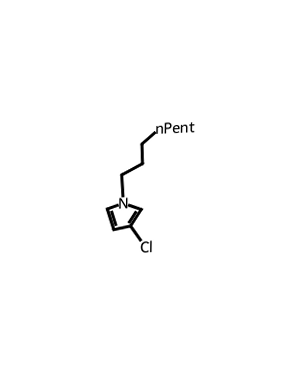 CCCCCCCCn1ccc(Cl)c1